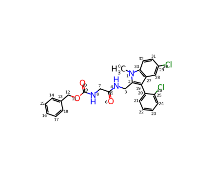 Cn1c(CNC(=O)CNC(=O)OCc2ccccc2)c(-c2ccccc2Cl)c2cc(Cl)ccc21